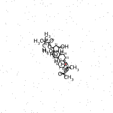 CC(=O)OC[C@]12CCC(OC(C)=O)CC1CC[C@@H]1[C@H]2CC[C@]2(C)C(OC(=O)C(C)(C)C)CC(O)[C@@]12O